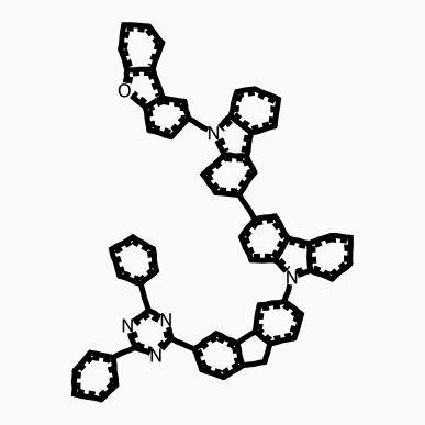 c1ccc(-c2nc(-c3ccccc3)nc(-c3ccc4c(c3)-c3cc(-n5c6ccccc6c6cc(-c7ccc8c(c7)c7ccccc7n8-c7ccc8oc9ccccc9c8c7)ccc65)ccc3C4)n2)cc1